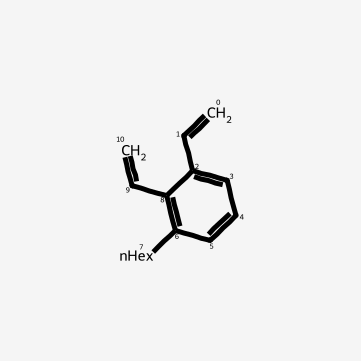 C=Cc1cccc(CCCCCC)c1C=C